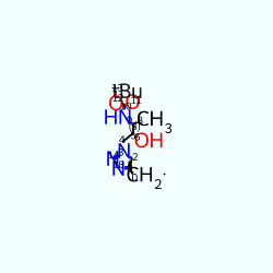 [CH2]c1cn(CC(O)[C@H](C)NC(=O)OC(C)(C)C)nn1